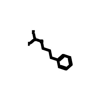 FB(F)OCCCc1ccccc1